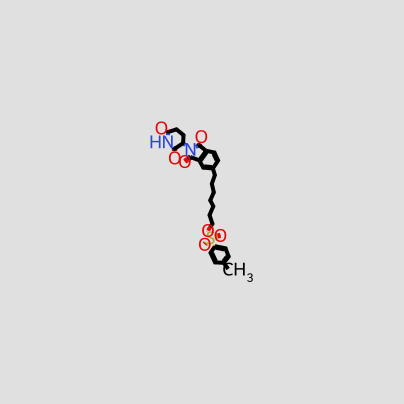 Cc1ccc(S(=O)(=O)OCCCCCCCc2ccc3c(c2)C(=O)N(C2CCC(=O)NC2=O)C3=O)cc1